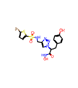 O=C(NO)C(Cc1ccc(O)cc1)n1cc(CNS(=O)(=O)c2ccc(Br)s2)nn1